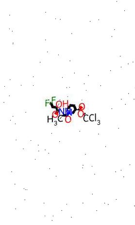 C[C@H](NC(=O)[C@@H](O)CC(F)F)C(=O)N1CCC[C@@H](C(=O)OCC(Cl)(Cl)Cl)C1